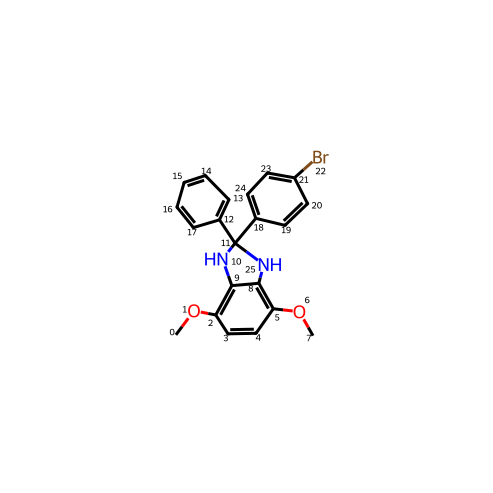 COc1ccc(OC)c2c1NC(c1ccccc1)(c1ccc(Br)cc1)N2